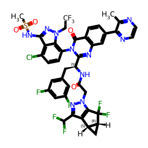 Cc1nccnc1-c1ccc2c(=O)n(-c3ccc(Cl)c4c(NS(C)(=O)=O)nn(CC(F)(F)F)c34)c([C@H](Cc3cc(F)cc(F)c3)NC(=O)Cn3nc(C(F)F)c4c3C(F)(F)[C@@H]3C[C@H]43)nc2c1